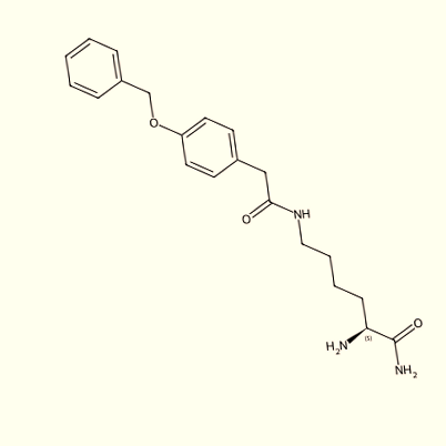 NC(=O)[C@@H](N)CCCCNC(=O)Cc1ccc(OCc2ccccc2)cc1